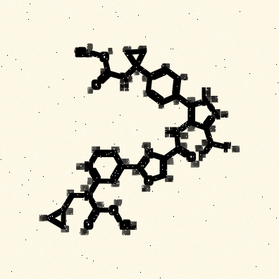 CC(C)(C)OC(=O)NC1(c2ccc(-c3[nH]nc(C(F)F)c3NC(=O)c3coc(-c4ccnc(N(CC5CC5)C(=O)OC(C)(C)C)c4)n3)cc2)CC1